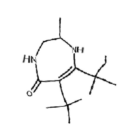 CC1CNC(=O)C(C(C)(C)C)=C(C(C)(C)C)N1